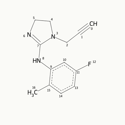 C#CCN1CCN=C1Nc1cc(F)ccc1C